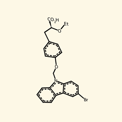 CCO[C@@H](Cc1ccc(OCn2c3ccccc3c3cc(Br)ccc32)cc1)C(=O)O